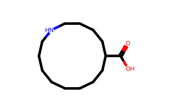 O=C(O)C1CCCCCCCCNCCCC1